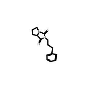 O=C1C2CCCN2C(=S)N1CCCc1ccccc1